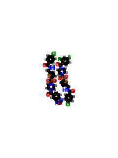 O=C(NCc1ccc(S(=O)(=O)N2CCN(C(=O)c3ccc(F)cc3F)CC2)s1)c1ccc(Cl)cc1.O=C(NCc1ccc(S(=O)(=O)N2CCN(C(=O)c3ccc4nonc4c3)CC2)s1)c1ccc(Cl)cc1